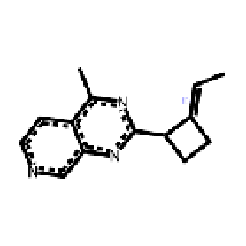 C/C=C1\CCC1c1nc(C)c2ccncc2n1